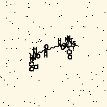 Cc1sc2c(c1C)C(c1ccc(Cl)cc1)=N[C@@H](CC(=O)NCCCCCC(=O)NCCCC(=O)NC1=NN(c3ccc(Cl)c(Cl)c3)CC1C)c1nnc(C)n1-2